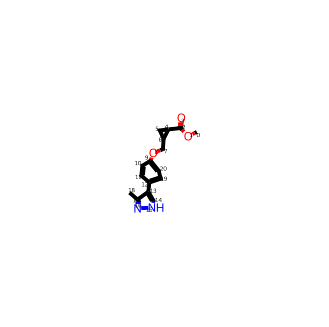 COC(=O)C1CC1COc1ccc(-c2c[nH]nc2C)cc1